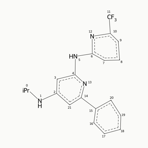 CC(C)Nc1cc(Nc2cccc(C(F)(F)F)n2)nc(-c2ccccc2)c1